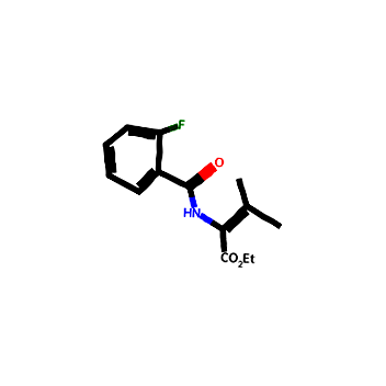 CCOC(=O)C(NC(=O)c1ccccc1F)=C(C)C